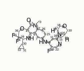 Cn1c(=O)c2c(c3cc(Nc4cc(N5[C@@H]6CC[C@H]5COC6)ncc4F)ccc31)NC(C1CC1)C(F)(F)CO2